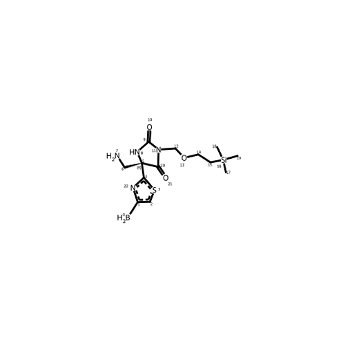 Bc1csc([C@]2(CN)NC(=O)N(COCC[Si](C)(C)C)C2=O)n1